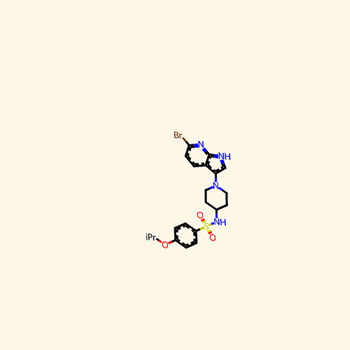 CC(C)Oc1ccc(S(=O)(=O)NC2CCN(c3c[nH]c4nc(Br)ccc34)CC2)cc1